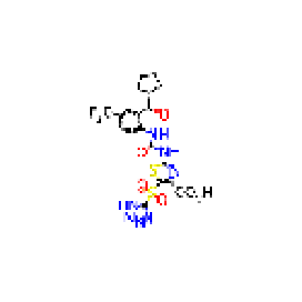 O=C(Nc1nc(C(=O)O)c(S(=O)(=O)c2nnn[nH]2)s1)Nc1ccc(C(F)(F)F)cc1C(=O)C1CCCC1